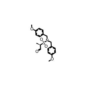 COc1ccc(CN(Cc2ccc(OC)cc2)S(=O)(=O)[C@H](C)C=O)cc1